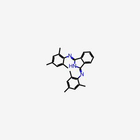 Cc1cc(C)c(N=C2NC(=Nc3c(C)cc(C)cc3C)c3ccccc32)c(C)c1